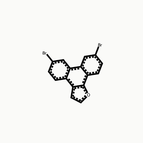 Brc1ccc2c(c1)c1cc(Br)ccc1c1occc21